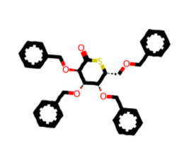 O=C1S[C@H](COCc2ccccc2)[C@H](OCc2ccccc2)[C@H](OCc2ccccc2)[C@H]1OCc1ccccc1